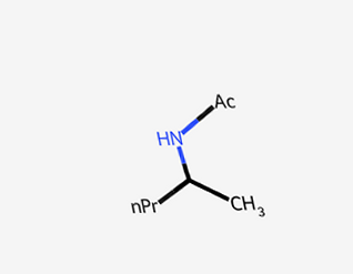 [CH2]CCC(C)NC(C)=O